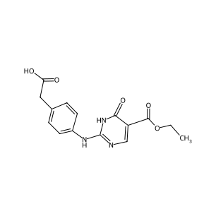 CCOC(=O)c1cnc(Nc2ccc(CC(=O)O)cc2)[nH]c1=O